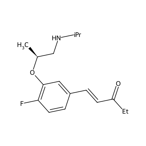 CCC(=O)/C=C/c1ccc(F)c(O[C@@H](C)CNC(C)C)c1